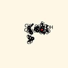 C#CCOc1cc(-n2nc3n(c2=O)CCCC3)c(Cl)cc1Cl.CC1COc2ccccc2N1C(=O)C(Cl)Cl.CCc1cccc(C)c1N(C(=O)CCl)C(C)COC.CP(=O)(O)CCC(N)C(=O)O.CS(=O)(=O)c1cc(C(F)(F)F)ccc1C(=O)c1cnoc1C1CC1